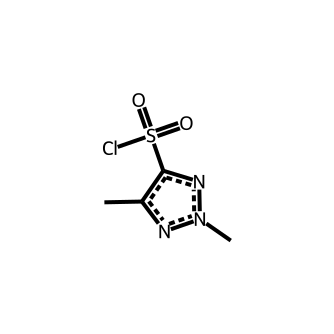 Cc1nn(C)nc1S(=O)(=O)Cl